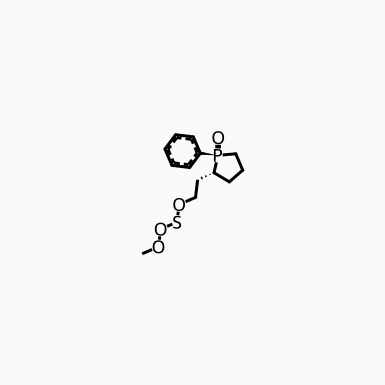 COOSOCC[C@H]1CCC[P@]1(=O)c1ccccc1